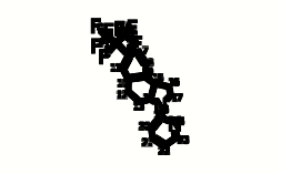 FC(F)(F)C(F)(c1ccc2c(c1)CCC1C2CCN1c1ccccn1)C(F)(F)F